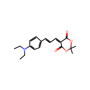 CCN(CC)c1ccc(/C=C/C=C2C(=O)OC(C)(C)OC2=O)cc1